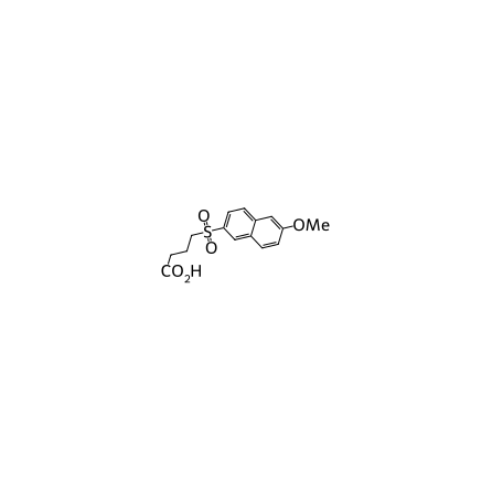 COc1ccc2cc(S(=O)(=O)CCCC(=O)O)ccc2c1